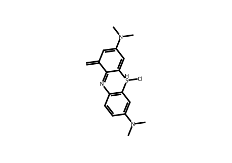 C=c1cc(N(C)C)cc2c1=Nc1ccc(N(C)C)cc1[SH]2Cl